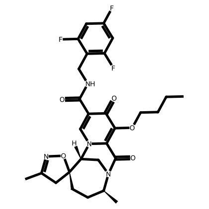 CCCCOc1c2n(cc(C(=O)NCc3c(F)cc(F)cc3F)c1=O)[C@@H]1CN(C2=O)[C@@H](C)CC[C@]12CC(C)=NO2